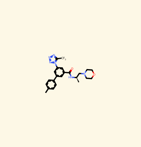 Cc1ccc(-c2cc(C(=O)N[C@H](C)CN3CCOCC3)cc(-n3nnnc3C(F)(F)F)c2)cc1